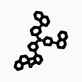 c1cc(-c2cccc3ccccc23)cc(N(c2ccc(-c3cccc4ccccc34)cc2)c2cccc(-c3cccc4oc5c6ccccc6ccc5c34)c2)c1